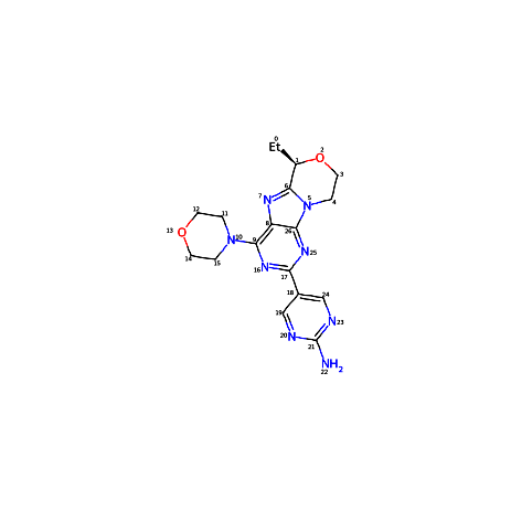 CC[C@H]1OCCn2c1nc1c(N3CCOCC3)nc(-c3cnc(N)nc3)nc12